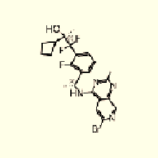 Cc1nc(N[C@H](C)c2cccc(C(F)(F)[C@](C)(O)C3CCC3)c2F)c2cc(Br)ncc2n1